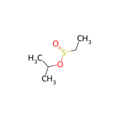 CCS(=O)OC(C)C